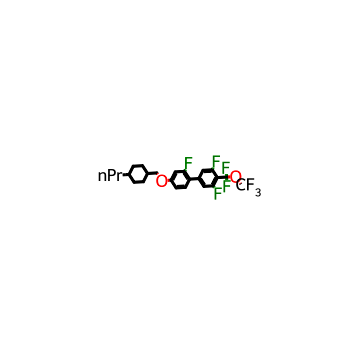 CCCC1CCC(COc2ccc(-c3cc(F)c(C(F)(F)OC(F)(F)F)c(F)c3)c(F)c2)CC1